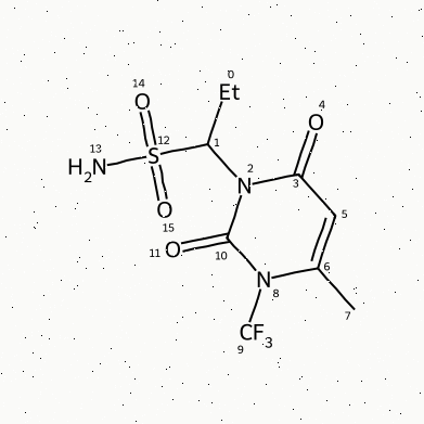 CCC(n1c(=O)cc(C)n(C(F)(F)F)c1=O)S(N)(=O)=O